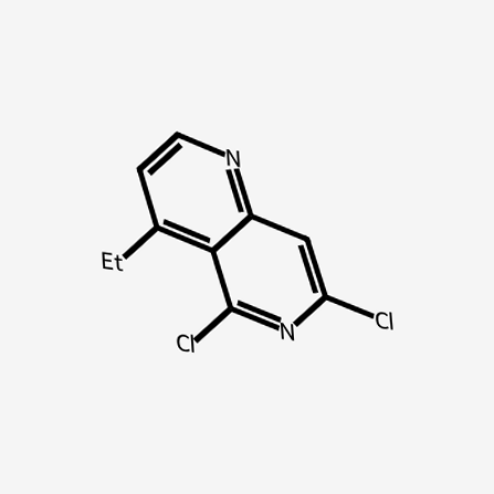 CCc1ccnc2cc(Cl)nc(Cl)c12